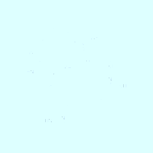 CC1C(S(=O)(=O)Nc2ccc3[nH]nc(-c4ccc(N(C)C)cc4)c3c2)=CC=CC1=S(=O)=O